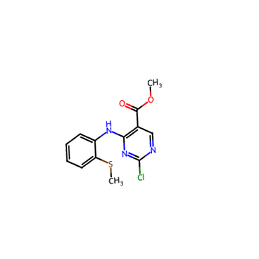 COC(=O)c1cnc(Cl)nc1Nc1ccccc1SC